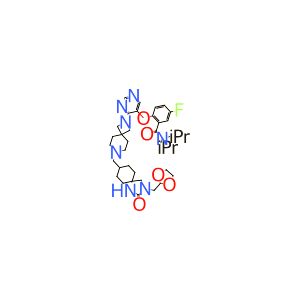 CC(C)N(C(=O)c1cc(F)ccc1Oc1cncnc1N1CC2(CCN(CC3CCC4(CC3)CN(CC3OCCO3)C(=O)N4)CC2)C1)C(C)C